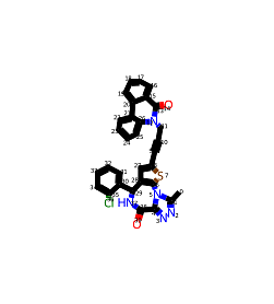 Cc1nnc2n1-c1sc(C#CCn3c(=O)c4ccccc4c4ccccc43)cc1C(c1ccccc1Cl)NC2=O